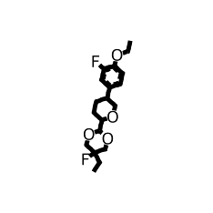 CCOc1ccc(C2CCC(C3OCC(F)(CC)CO3)OC2)cc1F